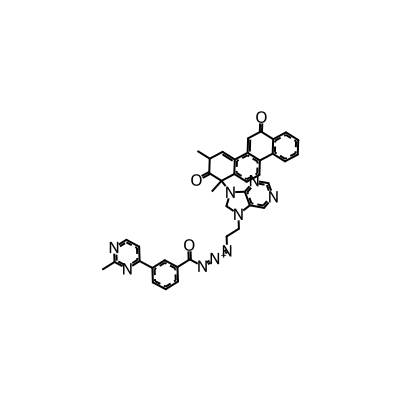 Cc1nccc(-c2cccc(C(=O)N=[N+]=NCCN3CN(C4(C)C(=O)C(C)C=c5c4ccc4c5=CC(=O)c5ccccc5-4)c4ncncc43)c2)n1